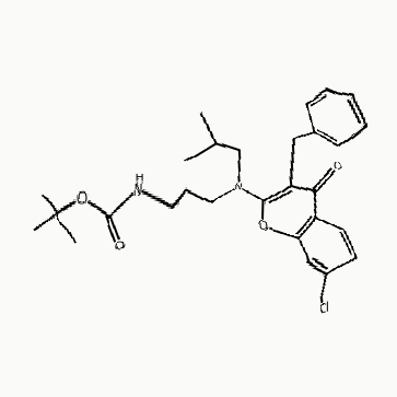 CC(C)CN(CCCNC(=O)OC(C)(C)C)c1oc2cc(Cl)ccc2c(=O)c1Cc1ccccc1